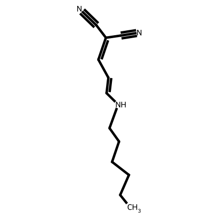 CCCCCCNC=CC=C(C#N)C#N